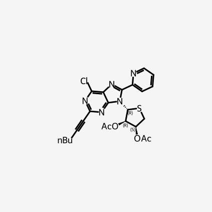 CCCCC#Cc1nc(Cl)c2nc(-c3ccccn3)n([C@@H]3SC[C@@H](OC(C)=O)[C@H]3OC(C)=O)c2n1